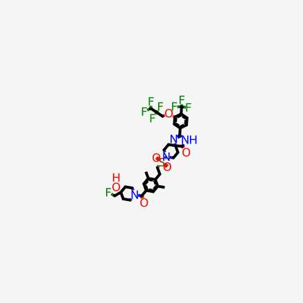 Cc1cc(C(=O)N2CCC(O)(CF)CC2)cc(C)c1CCS(=O)(=O)N1CCC2(CC1)N=C(c1ccc(C(F)(F)F)c(OCC(F)(F)C(F)F)c1)NC2=O